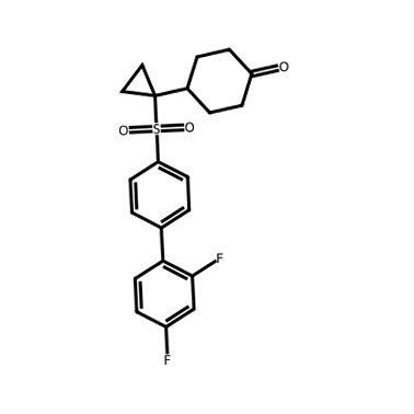 O=C1CCC(C2(S(=O)(=O)c3ccc(-c4ccc(F)cc4F)cc3)CC2)CC1